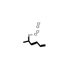 C=CC=C[CH](C)[Ir+4].[Cl-].[Cl-].[Cl-].[Cl-]